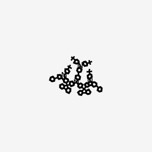 CC(C)(C)c1ccc(N(c2ccc(-c3ccc(N(c4ccc(C5(c6ccc7c(c6)c6cc(-c8ccccc8)ccc6n7-c6ccc(C(C)(C)C)cc6)c6ccccc6-c6ccccc65)cc4)c4ccc(C5(c6ccc7c(c6)c6cc(-c8ccccc8)ccc6n7-c6ccc(C(C)(C)C)cc6)c6ccccc6-c6ccccc65)cc4)cc3)cc2)c2ccc(C(C)(C)C)cc2)cc1